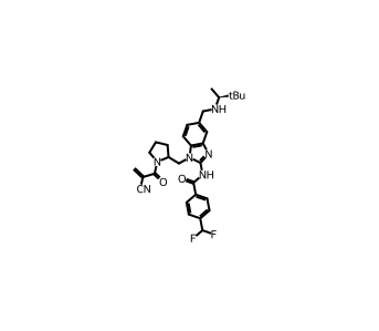 C=C(C#N)C(=O)N1CCCC1Cn1c(NC(=O)c2ccc(C(F)F)cc2)nc2cc(CN[C@@H](C)C(C)(C)C)ccc21